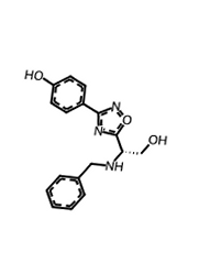 OC[C@H](NCc1ccccc1)c1nc(-c2ccc(O)cc2)no1